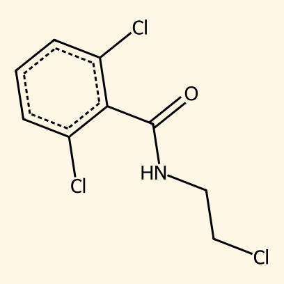 O=C(NCCCl)c1c(Cl)cccc1Cl